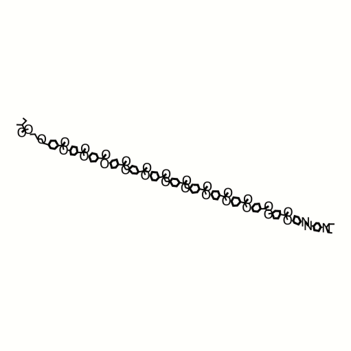 CCC(C)C(=O)OCCCOCc1ccc(C(=O)Oc2ccc(C(=O)Oc3ccc(C(=O)Oc4ccc(C(=O)Oc5ccc(C(=O)Oc6ccc(C(=O)Oc7ccc(C(=O)Oc8ccc(C(=O)Oc9ccc(C(=O)Oc%10ccc(C(=O)Oc%11ccc(C(=O)Oc%12ccc(C(=O)Oc%13ccc(N=Nc%14ccc(N(CC)CC)cc%14)cc%13)cc%12)cc%11)cc%10)cc9)cc8)cc7)cc6)cc5)cc4)cc3)cc2)cc1